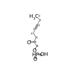 CCC#CCCC(=O)CO[PH](=O)O